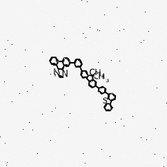 CC1(C)c2cc(-c3ccc(-c4cccc5c4sc4ccccc45)cc3)ccc2-c2ccc(-c3cccc(-c4ccc5c6ccccc6c6nccnc6c5c4)c3)cc21